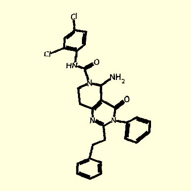 NC1c2c(nc(CCc3ccccc3)n(-c3ccccc3)c2=O)CCN1C(=O)Nc1ccc(Cl)cc1Cl